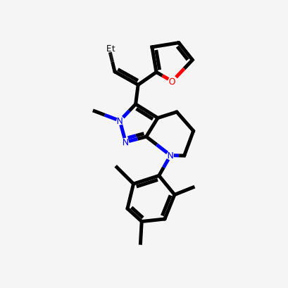 CCC=C(c1ccco1)c1c2c(nn1C)N(c1c(C)cc(C)cc1C)CCC2